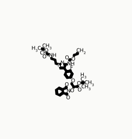 C=CCOC(=O)Nc1nn(CCCNC(=O)OC(C)(C)C)cc1-c1ccc(OCC(ON2C(=O)c3ccccc3C2=O)C(=O)OC(C)(C)C)cc1F